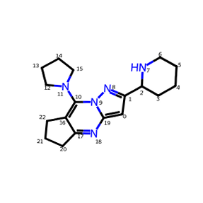 c1c(C2CCCCN2)nn2c(N3CCCC3)c3c(nc12)CCC3